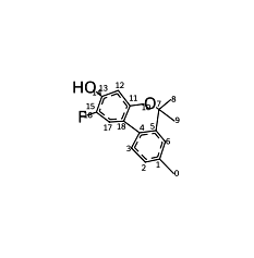 Cc1ccc2c(c1)C(C)(C)Oc1cc(O)c(F)cc1-2